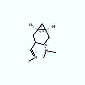 C/N=C/C1C[C@H]2C[C@H]2C[C@@H]1N(C)C